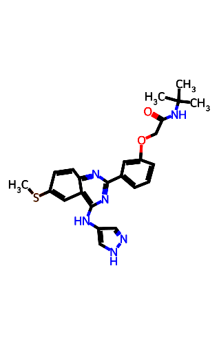 CSc1ccc2nc(-c3cccc(OCC(=O)NC(C)(C)C)c3)nc(Nc3cn[nH]c3)c2c1